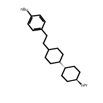 CCCCc1ccc(CCC2CCC([C@H]3CC[C@H](CCC)CC3)CC2)cc1